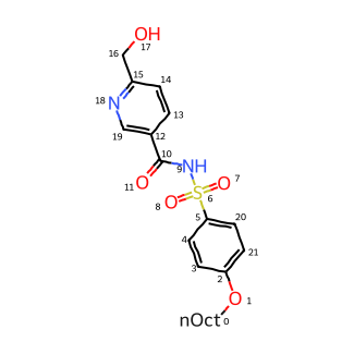 CCCCCCCCOc1ccc(S(=O)(=O)NC(=O)c2ccc(CO)nc2)cc1